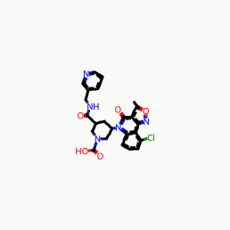 Cc1onc2c1c(=O)n(C1CC(C(=O)NCc3cccnc3)CN(C(=O)O)C1)c1cccc(Cl)c21